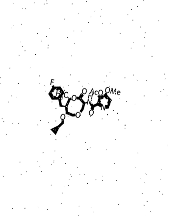 COc1ccnc(C(=O)N[C@H]2COC[C@H](OCC3CC3)[C@@H](Cc3ccc(F)cc3)[C@H](C)OC2=O)c1OC(C)=O